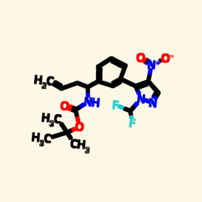 C=CCC(NC(=O)OC(C)(C)C)c1cccc(-c2c([N+](=O)[O-])cnn2C(F)F)c1